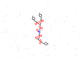 COCC(COC(=O)CCC1CCC(C)CC1)COC(=O)CCN(C=O)CCC(=O)OCC(COC(=O)CCC1CCC(C)CC1)COC(=O)CCC1CCC(C)CC1